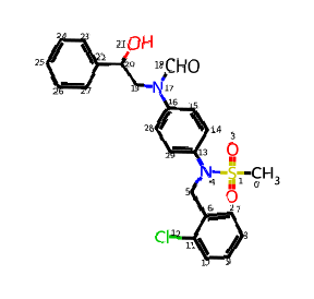 CS(=O)(=O)N(Cc1ccccc1Cl)c1ccc(N(C=O)CC(O)c2ccccc2)cc1